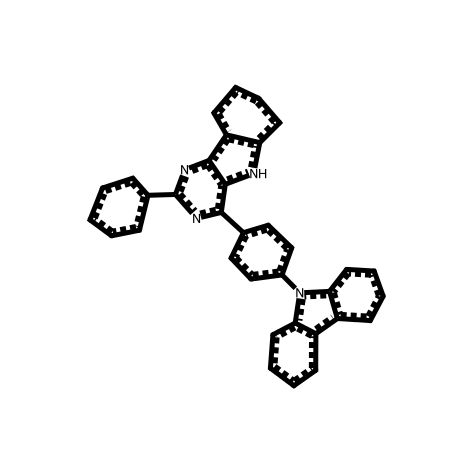 c1ccc(-c2nc(-c3ccc(-n4c5ccccc5c5ccccc54)cc3)c3[nH]c4ccccc4c3n2)cc1